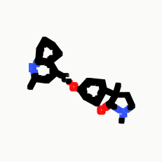 Cc1cc(COc2ccc(C3(C)CCN(C)C3=O)cc2)c2ccccc2n1